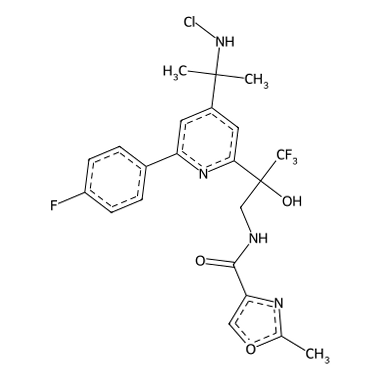 Cc1nc(C(=O)NCC(O)(c2cc(C(C)(C)NCl)cc(-c3ccc(F)cc3)n2)C(F)(F)F)co1